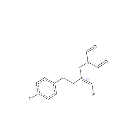 O=CN(C=O)C/C(=C/F)CCc1ccc(F)cc1